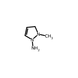 CN1CC=CN1N